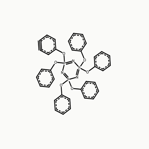 c1ccc(OP2(Oc3ccccc3)=NP(Oc3ccccc3)(Oc3ccccc3)=NP(Oc3ccccc3)(Oc3ccccc3)=N2)cc#1